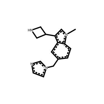 Cn1cc(C2CNC2)c2cc(Cn3ccnc3)ccc21